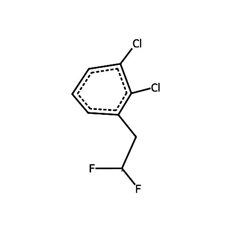 F[C](F)Cc1cccc(Cl)c1Cl